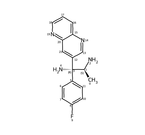 C[C@H](N)[C@@](N)(c1ccc(F)cc1)c1cnc2cccnc2c1